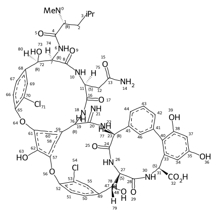 CN[C@H](CC(C)C)C(=O)N[C@H]1C(=O)N[C@@H](CC(N)=O)C(=O)N[C@H]2C(=N)N[C@H]3C(=O)N[C@H](C(=O)N[C@H](C(=O)O)c4cc(O)cc(O)c4-c4cccc3c4)[C@H](O)c3ccc(c(Cl)c3)Oc3cc2cc(c3O)Oc2ccc(cc2Cl)[C@H]1O